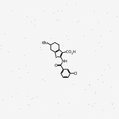 CC(C)(C)C1CCc2c(sc(NC(=O)c3cccc(Cl)c3)c2C(=O)O)C1